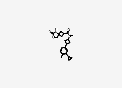 Cc1ccc(C2CC(N(C)C(=O)C3CC4(COC(=O)N4)C3)C2)cc1C1CC1